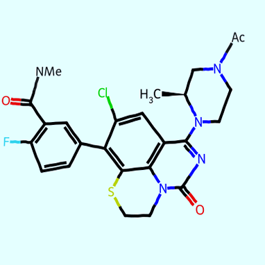 CNC(=O)c1cc(-c2c(Cl)cc3c(N4CCN(C(C)=O)C[C@@H]4C)nc(=O)n4c3c2SCC4)ccc1F